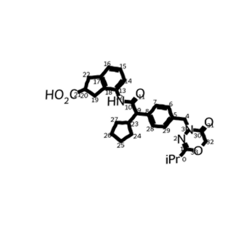 CC(C)C1=NN(Cc2ccc(C(C(=O)Nc3cccc4c3CC(C(=O)O)C4)C3CCCC3)cc2)C(=O)CO1